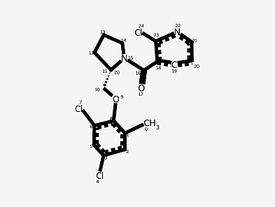 Cc1cc(Cl)cc(Cl)c1OC[C@@H]1CCCN1C(=O)c1cccnc1Cl